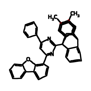 Cc1cc2c(cc1C)C1(c3nc(-c4ccccc4)cc(-c4cccc5c4oc4ccccc45)n3)c3ccccc3C2c2ccccc21